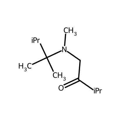 CC(C)C(=O)CN(C)C(C)(C)C(C)C